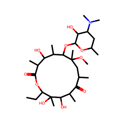 CCC1OC(=O)C(C)C(O)C(C)C(OC2OC(C)CC(N(C)C)C2O)C(C)(OC)CC(C)C(=O)C(C)C(O)C1(C)O